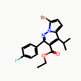 CCOC(=O)c1c(-c2ccc(F)cc2)nn2c(Br)ccc2c1C(C)C